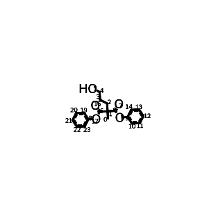 CC(CCCO)(C(=O)Oc1ccccc1)C(=O)Oc1ccccc1